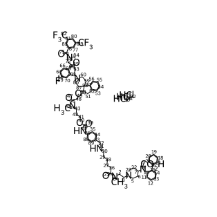 CN(CCN1CCC(N(C(=O)O)c2ccccc2-c2ccccc2)CC1)C(=O)CCCCCNCc1ccc(NC(=O)OCCCN(C)C(=O)CO[C@H]2Cc3ccccc3C23CCN(CC[C@@]2(c4ccc(F)cc4)CN(C(=O)c4cc(C(F)(F)F)cc(C(F)(F)F)c4)CO2)CC3)cc1.Cl.Cl.Cl